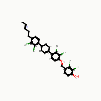 C/C=C/CCc1ccc(C2CC=C(c3ccc(OCc4ccc(O)c(F)c4F)c(F)c3F)CC2)c(F)c1F